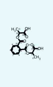 CC(OC(=O)c1ccccc1C(=O)OC(C)C(=O)O)C(=O)O